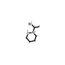 C[CH](Br)[Al]1[CH2]CCC[O]1